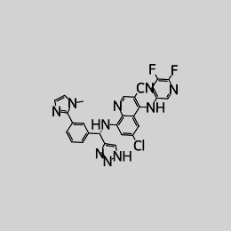 Cn1ccnc1-c1cccc([C@H](Nc2cc(Cl)cc3c(Nc4cnc(F)c(F)c4)c(C#N)cnc23)c2c[nH]nn2)c1